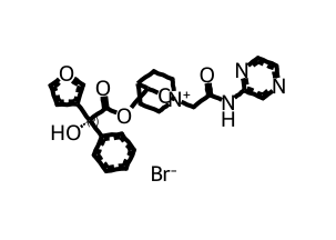 O=C(C[N+]12CCC(CC1)C(OC(=O)[C@@](O)(c1ccccc1)c1ccoc1)C2)Nc1cnccn1.[Br-]